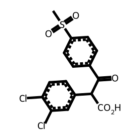 CS(=O)(=O)c1ccc(C(=O)C(C(=O)O)c2ccc(Cl)c(Cl)c2)cc1